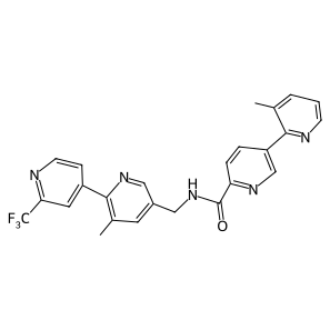 Cc1cccnc1-c1ccc(C(=O)NCc2cnc(-c3ccnc(C(F)(F)F)c3)c(C)c2)nc1